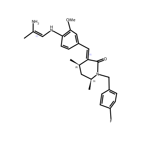 COc1cc(/C=C2/C(=O)N(Cc3ccc(F)cc3)[C@@H](C)C[C@H]2C)ccc1N/C=C(/C)N